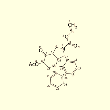 C=COC(=O)N1CC2C(=O)C(OC(C)=O)CC(c3ccccc3)(c3ccccc3)C2C1